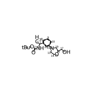 CC(NC(=O)OC(C)(C)C)c1cccc(N2CCOC(CO)C2)c1